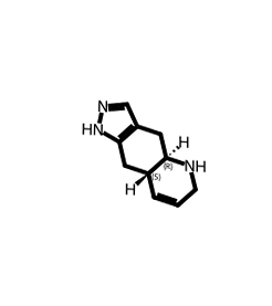 C1=C[C@@H]2Cc3[nH]ncc3C[C@H]2NC1